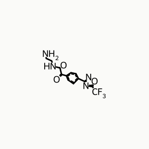 NCCNC(=O)C(=O)c1ccc(-c2noc(C(F)(F)F)n2)cc1